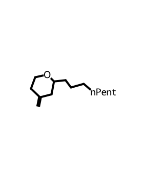 C=C1CCOC(CCCCCCCC)C1